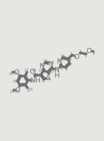 COCCOCc1ccc(Nc2ncnc3c(C(=O)Nc4c(C)c(OC)cc(OC)c4I)csc23)nc1